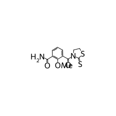 COc1c(C(N)=O)cccc1C(=O)N1CCSC1=S